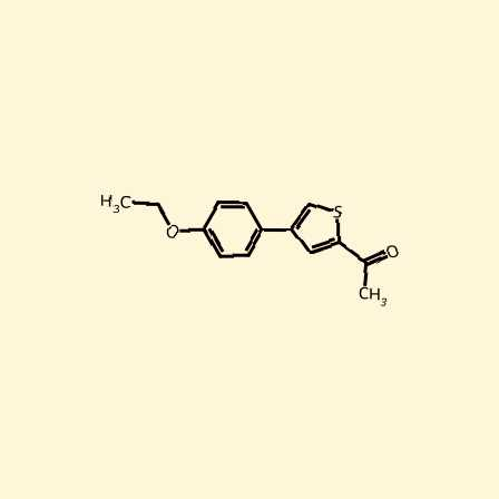 CCOc1ccc(-c2csc(C(C)=O)c2)cc1